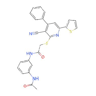 CC(=O)Nc1cccc(NC(=O)CSc2nc(-c3cccs3)cc(-c3ccccc3)c2C#N)c1